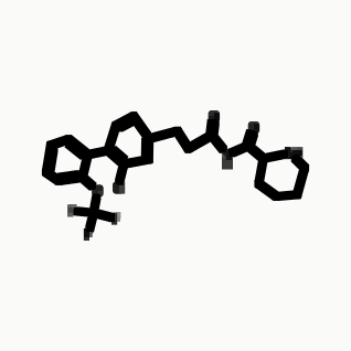 O=C(CCc1ccc(-c2ccccc2OC(F)(F)F)c(Cl)c1)NC(=O)C1CCCCN1